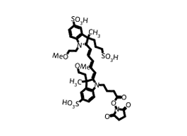 COCC[N+]1=C(/C=C/C=C/C=C2/N(CCCC(=O)ON3C(=O)CCC3=O)c3ccc(S(=O)(=O)O)cc3C2(C)CCOC)C(C)(CCCS(=O)(=O)O)c2cc(S(=O)(=O)O)ccc21